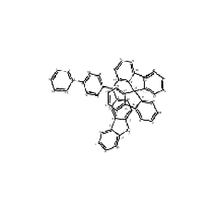 c1ccc(-c2ccc(N(c3ccc4oc5ccccc5c4c3)c3cccc4c3C3(c5ccccc5-c5ccccc53)c3ccccc3-4)cc2)cc1